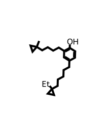 CCC1(CCCCCc2ccc(O)c(CCCCC3(C)CC3)c2)CC1